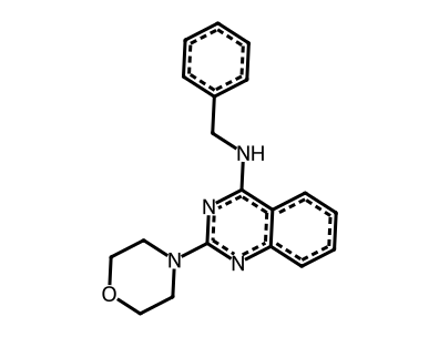 c1ccc(CNc2nc(N3CCOCC3)nc3ccccc23)cc1